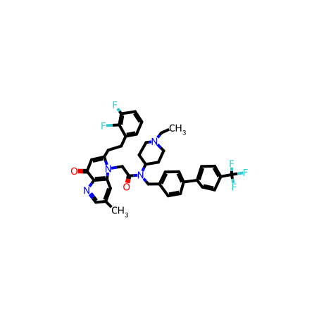 CCN1CCC(N(Cc2ccc(-c3ccc(C(F)(F)F)cc3)cc2)C(=O)Cn2c(CCc3cccc(F)c3F)cc(=O)c3ncc(C)cc32)CC1